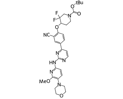 COc1nc(Nc2nccc(-c3ccc(OC4CCN(C(=O)OC(C)(C)C)CC4(F)F)c(C#N)c3)n2)ccc1N1CCOCC1